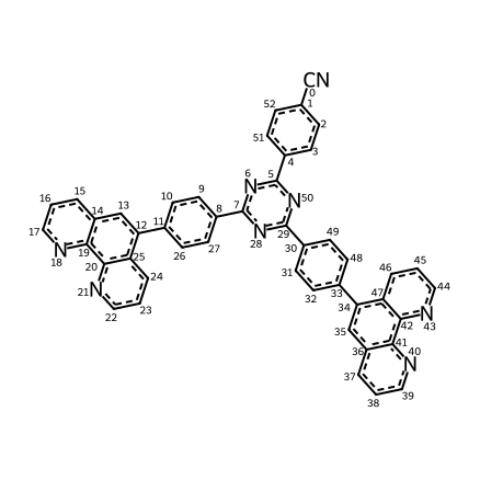 N#Cc1ccc(-c2nc(-c3ccc(-c4cc5cccnc5c5ncccc45)cc3)nc(-c3ccc(-c4cc5cccnc5c5ncccc45)cc3)n2)cc1